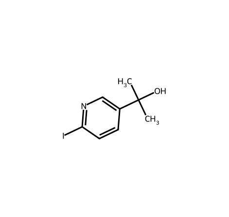 CC(C)(O)c1ccc(I)nc1